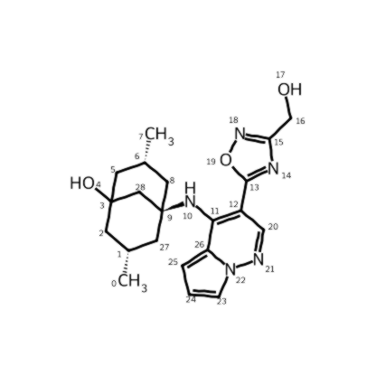 C[C@@H]1CC2(O)C[C@H](C)C[C@](Nc3c(-c4nc(CO)no4)cnn4cccc34)(C1)C2